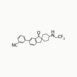 N#Cc1cccc(-c2ccc3c(c2)C(=O)C2(CCC(NCC(F)(F)F)CC2)C3)c1